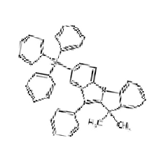 CC1(C)c2ccccc2-n2c1c(-c1ccccc1)c1cc([Si](c3ccccc3)(c3ccccc3)c3ccccc3)ccc12